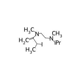 C=C(C(C)I)N(C)CCN(C)C(C)C